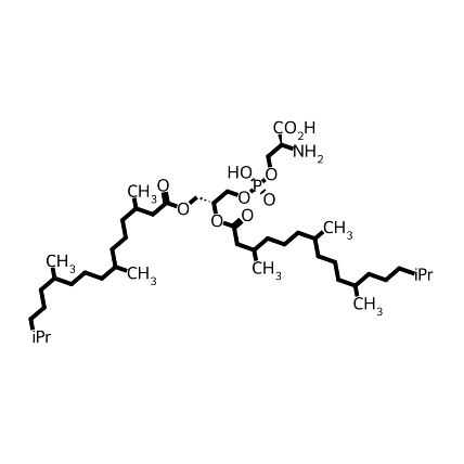 CC(C)CCCC(C)CCCC(C)CCCC(C)CC(=O)OC[C@H](COP(=O)(O)OC[C@H](N)C(=O)O)OC(=O)CC(C)CCCC(C)CCCC(C)CCCC(C)C